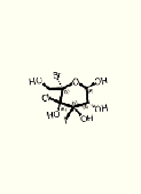 OC[C@@]1(Br)O[C@@H](O)[C@H](O)[C@](O)(I)[C@]1(O)Cl